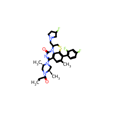 C=CC(=O)N1C[C@H](C)N(c2nc(=O)n3c4c(c(-c5ccc(F)cc5F)c(C)cc24)SCC3CN2CCC(F)C2)C[C@H]1C